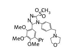 COc1c(-c2nnc(S(C)(=O)=O)n2-c2ccc(CN3CCOCC3)cc2)cc(C(C)C)c(OC)c1OC